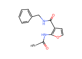 CCCC(=O)Nc1occc1C(=O)NCc1ccccc1